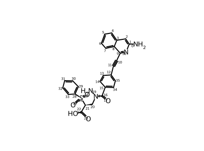 Nc1cc2ccccc2c(C#Cc2ccc(C(=O)N(N)C[C@@H](C(=O)O)S(=O)(=O)c3ccccc3)cc2)n1